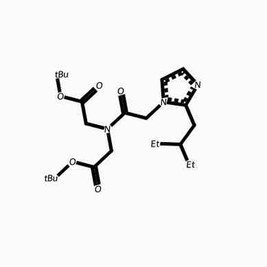 CCC(CC)Cc1nccn1CC(=O)N(CC(=O)OC(C)(C)C)CC(=O)OC(C)(C)C